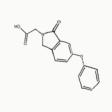 O=C(O)CN1Cc2ccc(Oc3ccccc3)cc2C1=O